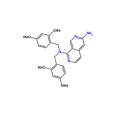 COc1ccc(CN(Cc2ccc(OC)cc2OC)c2nccc3cc(N)ncc23)c(OC)c1